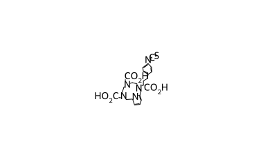 O=C(O)CN1CCN(CC(=O)O)Cc2cccc(n2)CN(C(CCc2ccc(N=C=S)cc2)C(=O)O)CC1